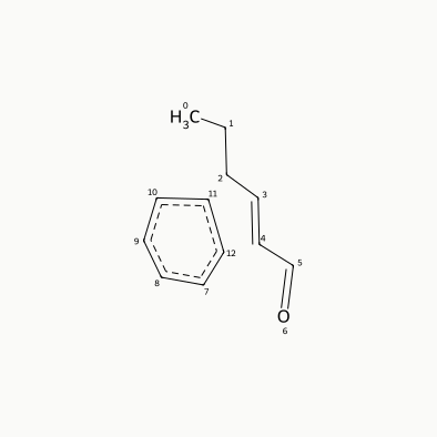 CCCC=CC=O.c1ccccc1